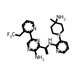 C=C(Nc1ncccc1N1CCC(C)(N)CC1)c1nc(-c2ncccc2CC(F)(F)F)cnc1N